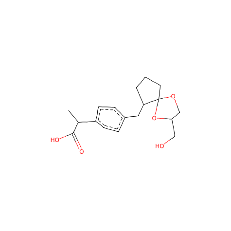 CC(C(=O)O)c1ccc(CC2CCCC23OCC(CO)O3)cc1